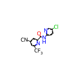 [C-]#[N+]c1cc(C(=O)Nc2ccc(Cl)cn2)nc(C(F)(F)F)c1